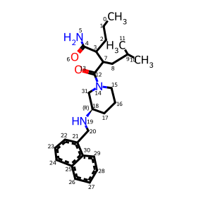 CCCC(C(N)=O)C(CC(C)C)C(=O)N1CCC[C@@H](NCc2cccc3ccccc23)C1